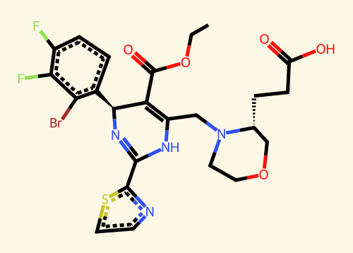 CCOC(=O)C1=C(CN2CCOC[C@H]2CCC(=O)O)NC(c2nccs2)=N[C@H]1c1ccc(F)c(F)c1Br